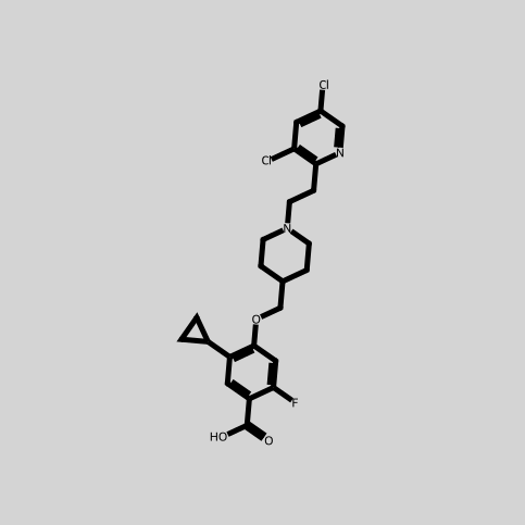 O=C(O)c1cc(C2CC2)c(OCC2CCN(CCc3ncc(Cl)cc3Cl)CC2)cc1F